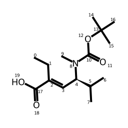 CC/C(=C\[C@H](C(C)C)N(C)C(=O)OC(C)(C)C)C(=O)O